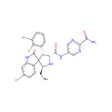 CC(C)(C)C[C@@H]1N[C@@H](C(=O)Nc2cnc(C(N)=O)nc2)[C@@H](c2cccc(Cl)c2F)C12C(=O)Nc1cc(Cl)ccc12